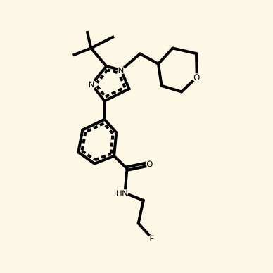 CC(C)(C)c1nc(-c2cccc(C(=O)NCCF)c2)cn1CC1CCOCC1